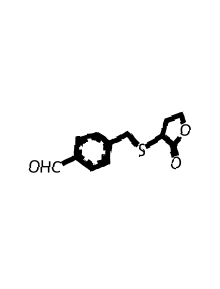 O=Cc1ccc(CSC2CCOC2=O)cc1